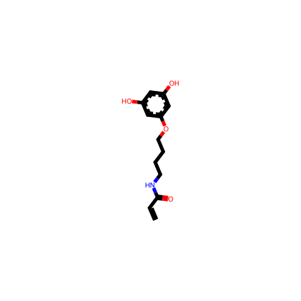 C=CC(=O)NCCCCOc1cc(O)cc(O)c1